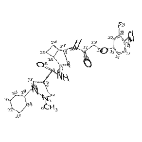 CN1CC(C(=O)NC2C[C@H](NC(=O)COc3ccc(Cl)c(F)c3)C3CCC23)CN1C1CCCCC1